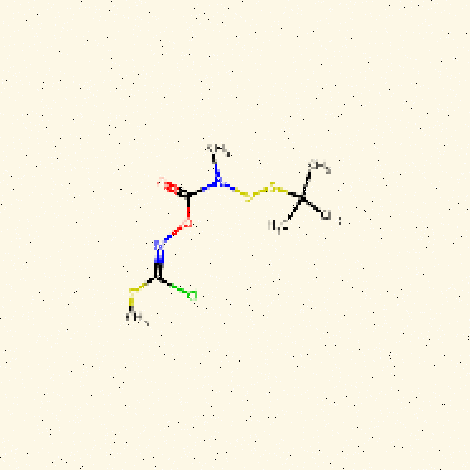 CSC(Cl)=NOC(=O)N(C)SSC(C)(C)C